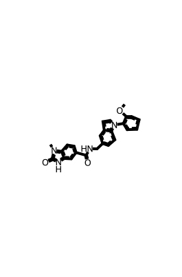 COc1ccccc1-n1ccc2cc(CNC(=O)c3ccc4c(c3)[nH]c(=O)n4C)ccc21